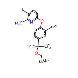 CCCc1cc(C(OCOC)(C(F)(F)F)C(F)(F)F)ccc1Oc1ccc(I)c(C)n1